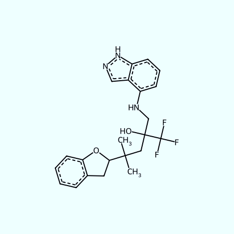 CC(C)(CC(O)(CNc1cccc2[nH]ncc12)C(F)(F)F)C1Cc2ccccc2O1